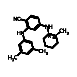 Cc1cc(C)cc(Nc2cc(N[C@@H]3CCCC[C@@H]3C)ccc2C#N)c1